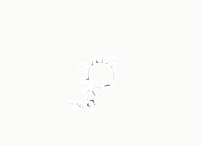 C/C1=C\CC(/C(Cl)=C/c2coc(CN)n2)OC(=O)CC(O)C(C)(C)C(=O)C(C)C(O)C(C)CCC1